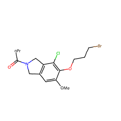 CCCC(=O)N1Cc2cc(OC)c(OCCCBr)c(Cl)c2C1